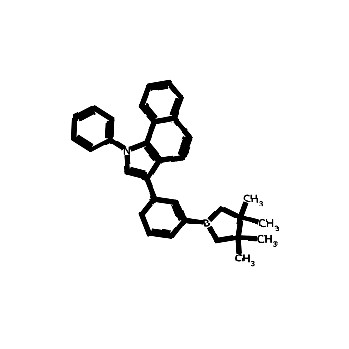 CC1(C)CB(C2=CC(c3cn(-c4ccccc4)c4c3ccc3ccccc34)CC=C2)CC1(C)C